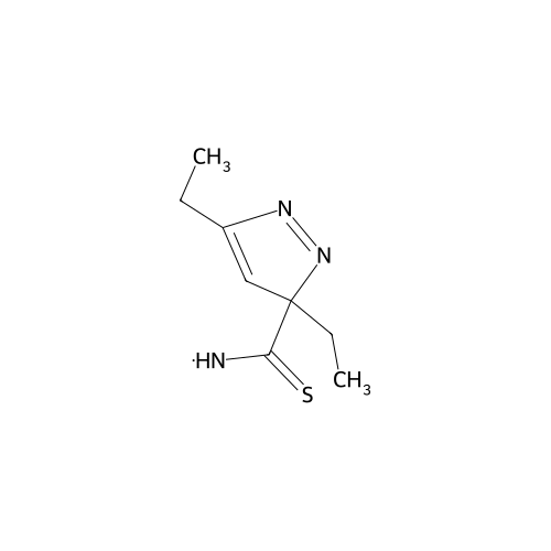 CCC1=CC(CC)(C([NH])=S)N=N1